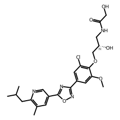 COc1cc(-c2noc(-c3cnc(CC(C)C)c(C)c3)n2)cc(Cl)c1OC[C@@H](O)CNC(=O)CO